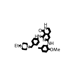 CCN1CCN(Cc2ccc(Nc3nc(Nc4cc(C)ccc4OC)cc4cc[nH]c(=O)c34)cc2)CC1